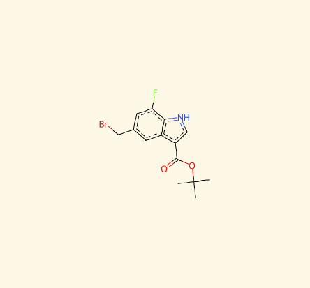 CC(C)(C)OC(=O)c1c[nH]c2c(F)cc(CBr)cc12